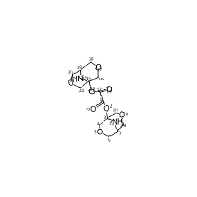 O=C(OC12COCC(COC1)N2)C(=O)OC12COCC(COC1)N2